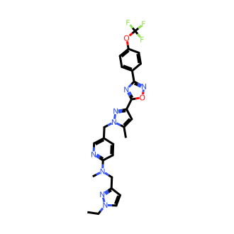 CCn1ccc(CN(C)c2ccc(Cn3nc(-c4nc(-c5ccc(OC(F)(F)F)cc5)no4)cc3C)cn2)n1